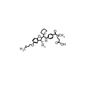 CSCCOc1ccc2c(c1)C(C)C(C(Nc1ccc(C(=O)N(C)CCC(=O)O)cc1)C1CCCCC1)O2